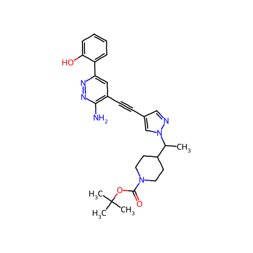 CC(C1CCN(C(=O)OC(C)(C)C)CC1)n1cc(C#Cc2cc(-c3ccccc3O)nnc2N)cn1